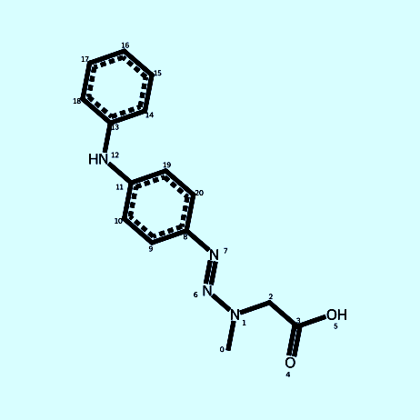 CN(CC(=O)O)/N=N/c1ccc(Nc2ccccc2)cc1